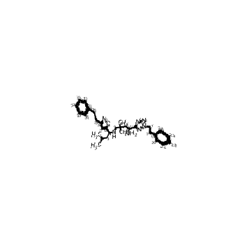 CC(C)C[C@H](NCC(C)(C)C[C@H](N)c1nnn(CCc2ccccc2)n1)c1cc(CCc2ccccc2)no1